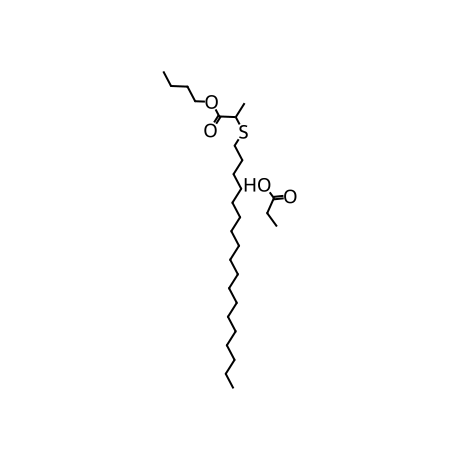 CCC(=O)O.CCCCCCCCCCCCCCCCCCSC(C)C(=O)OCCCC